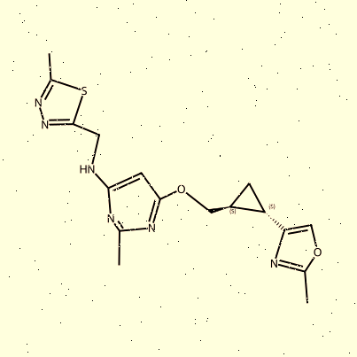 Cc1nc(NCc2nnc(C)s2)cc(OC[C@H]2C[C@@H]2c2coc(C)n2)n1